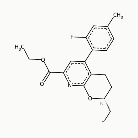 CCOC(=O)c1cc(-c2ccc(C)cc2F)c2c(n1)O[C@@H](CF)CC2